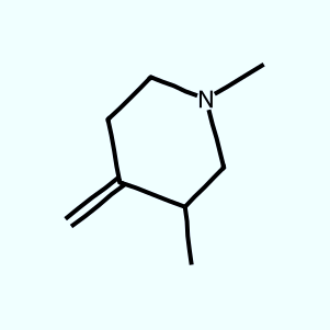 C=C1CCN(C)CC1C